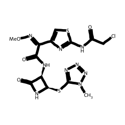 CO/N=C(\C(=O)N[C@@H]1C(=O)N[C@@H]1Sc1nnnn1C)c1csc(NC(=O)CCl)n1